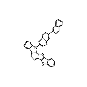 c1ccc2cc(-c3ccc4cc(-n5c6ccccc6c6ccc7c8sc9ccccc9c8sc7c65)ccc4c3)ccc2c1